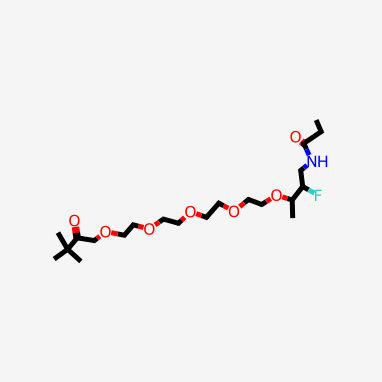 CCC(=O)NCC(F)C(C)OCCOCCOCCOCCOCC(=O)C(C)(C)C